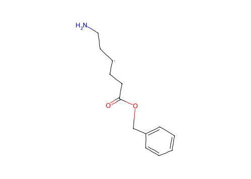 NCC[CH]CCC(=O)OCc1ccccc1